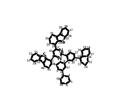 c1ccc(-c2cccc(-c3cc(-c4cccc5ccccc45)ccc3-c3nc(-c4cccc5c4sc4ccccc45)cc(-c4cccc5c4sc4ccccc45)n3)c2)cc1